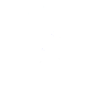 CC(NP(=O)(NC(C)C(=O)OC1CCCCC1)Oc1c(F)c(F)c(F)c(F)c1F)C(=O)O